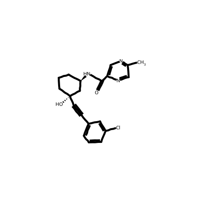 Cc1cnc(C(=O)N[C@@H]2CCC[C@](O)(C#Cc3cccc(Cl)c3)C2)cn1